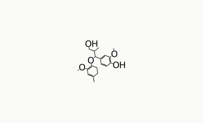 COC1=C(OC(c2ccc(O)c(OC)c2)C(C)CO)CCC(C)=C1